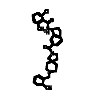 Cc1cccc(Cl)c1C(=O)NC1CCc2ccc(C(=O)N3CCC4(CCN(Cc5ccccc5C#N)CC4)C3)cc21